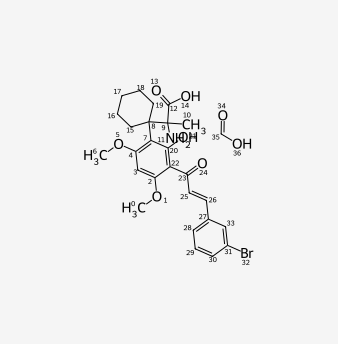 COc1cc(OC)c(C2(C(C)(N)C(=O)O)CCCCC2)c(O)c1C(=O)/C=C/c1cccc(Br)c1.O=CO